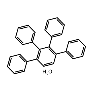 O.c1ccc(-c2ccc(-c3ccccc3)c(-c3ccccc3)c2-c2ccccc2)cc1